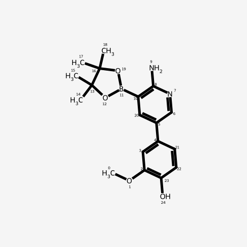 COc1cc(-c2cnc(N)c(B3OC(C)(C)C(C)(C)O3)c2)ccc1O